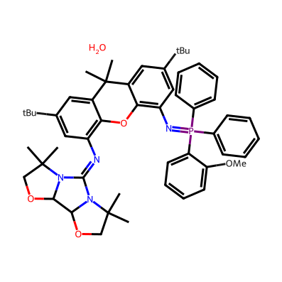 COc1ccccc1P(=Nc1cc(C(C)(C)C)cc2c1Oc1c(N=C3N4C(OCC4(C)C)C4OCC(C)(C)N34)cc(C(C)(C)C)cc1C2(C)C)(c1ccccc1)c1ccccc1.O